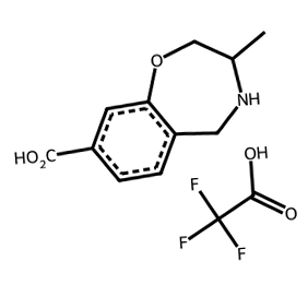 CC1COc2cc(C(=O)O)ccc2CN1.O=C(O)C(F)(F)F